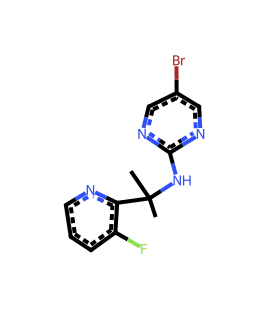 CC(C)(Nc1ncc(Br)cn1)c1ncccc1F